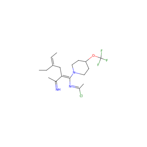 C/C=C(/CC)C/C(C(C)=N)=C(/N=C(\C)Cl)N1CCC(OC(F)(F)F)CC1